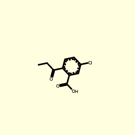 CCC(=O)c1ccc(Cl)cc1C(=O)O